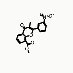 COC(=O)c1cccc2c(=O)c(C)c(-c3cccc([N+](=O)[O-])c3)oc12